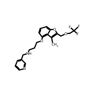 Cc1c(COCC(F)(F)F)oc2cccc(OCCCNCc3cccnc3)c12